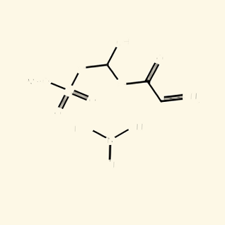 C=CC(=O)OC(C)OS(=O)(=O)OC.CN(C)C